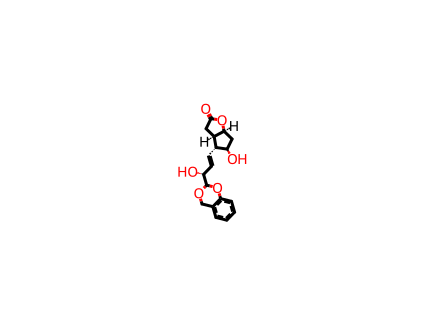 O=C1C[C@@H]2[C@@H](/C=C/[C@@H](O)C3OCc4ccccc4O3)[C@H](O)C[C@@H]2O1